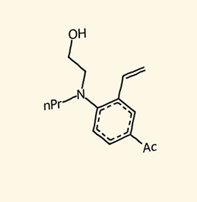 C=Cc1cc(C(C)=O)ccc1N(CCC)CCO